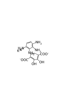 Nc1ccc(N)c(N)c1N.O=C([O-])c1ccc(C(=O)[O-])c(O)c1O.[K+].[K+]